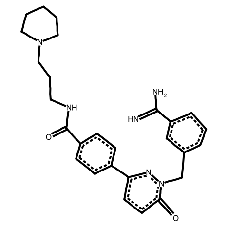 N=C(N)c1cccc(Cn2nc(-c3ccc(C(=O)NCCCN4CCCCC4)cc3)ccc2=O)c1